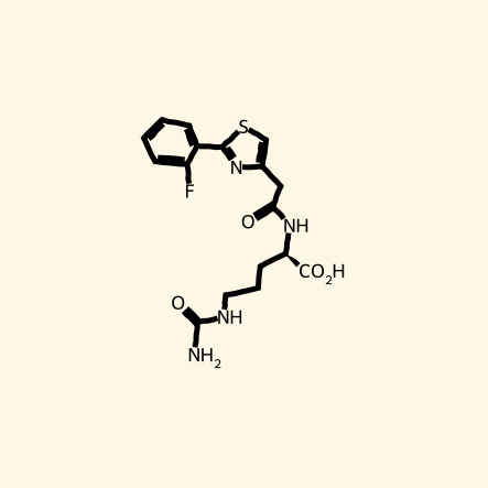 NC(=O)NCCC[C@@H](NC(=O)Cc1csc(-c2ccccc2F)n1)C(=O)O